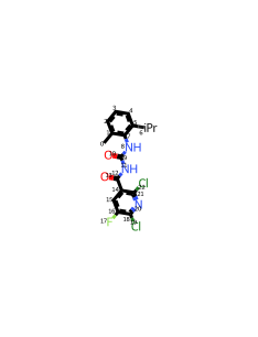 Cc1cccc(C(C)C)c1NC(=O)NC(=O)c1cc(F)c(Cl)nc1Cl